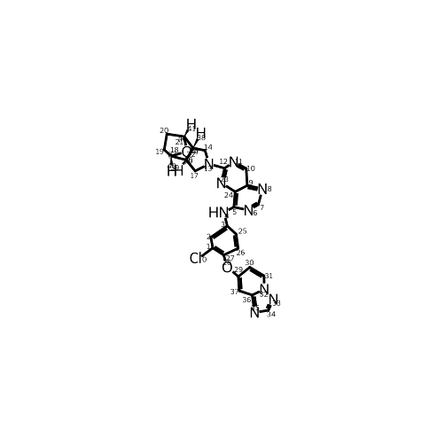 Clc1cc(Nc2ncnc3cnc(N4C[C@@H]5[C@H](C4)[C@@H]4CC[C@H]5O4)nc23)ccc1Oc1ccn2ncnc2c1